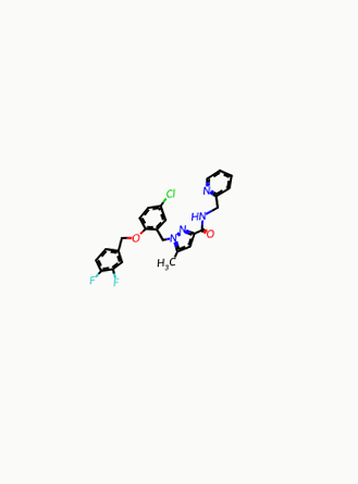 Cc1cc(C(=O)NCc2ccccn2)nn1Cc1cc(Cl)ccc1OCc1ccc(F)c(F)c1